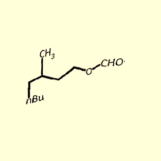 CCCCCC(C)CCO[C]=O